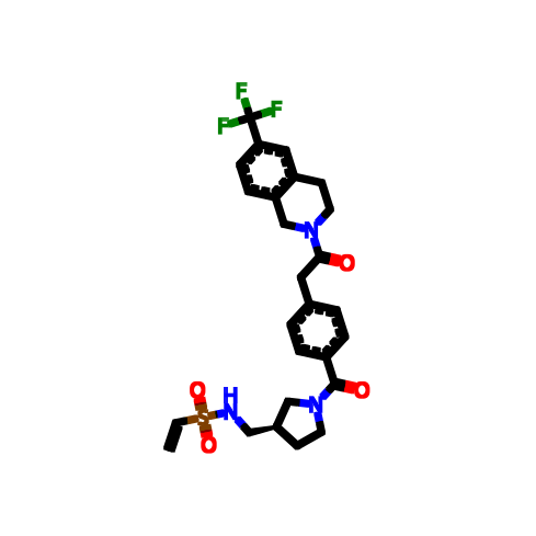 C=CS(=O)(=O)NC[C@@H]1CCN(C(=O)c2ccc(CC(=O)N3CCc4cc(C(F)(F)F)ccc4C3)cc2)C1